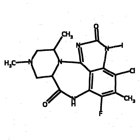 Cc1c(F)c2c3c(nc(=O)n(I)c3c1Cl)N1C(C)CN(C)CC1C(=O)N2